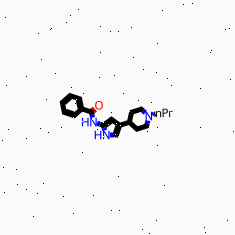 CCCN1CCC(c2c[nH]c(NC(=O)c3ccccc3)c2)CC1